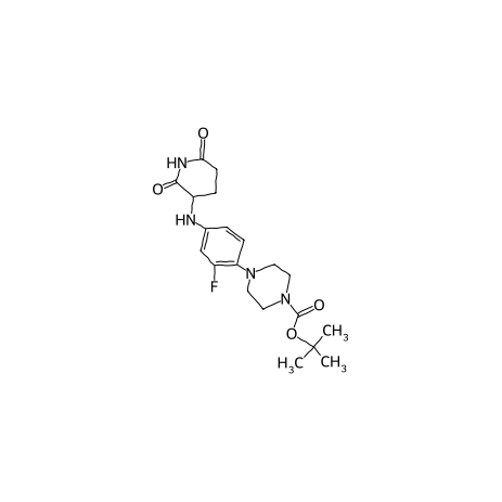 CC(C)(C)OC(=O)N1CCN(c2ccc(NC3CCC(=O)NC3=O)cc2F)CC1